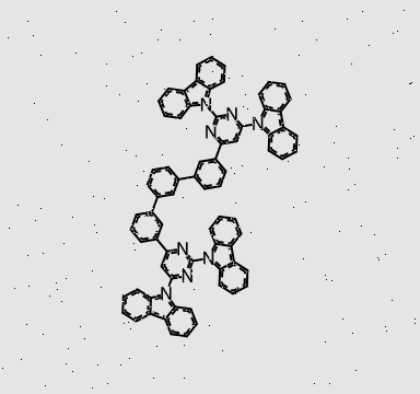 c1cc(-c2cccc(-c3cc(-n4c5ccccc5c5ccccc54)nc(-n4c5ccccc5c5ccccc54)n3)c2)cc(-c2cccc(-c3cc(-n4c5ccccc5c5ccccc54)nc(-n4c5ccccc5c5ccccc54)n3)c2)c1